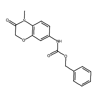 CN1C(=O)COc2cc(NC(=O)OCc3ccccc3)ccc21